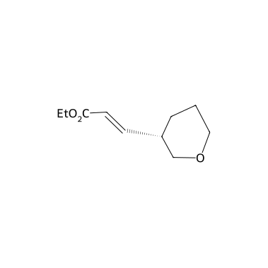 CCOC(=O)C=C[C@@H]1CCCOC1